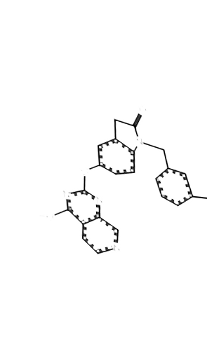 O=C1Cc2cc(Oc3nc(O)c4ccncc4n3)ccc2N1Cc1cccc(F)c1